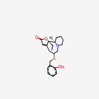 CC[C@]12OC(=O)C=C1CC(SCc1ccccc1O)CN1CCCC[C@@H]12